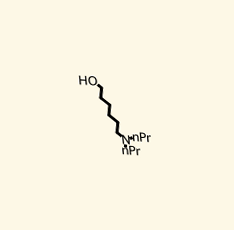 CCCN(CCC)CCCCCCO